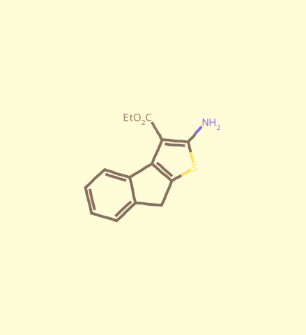 CCOC(=O)c1c(N)sc2c1-c1ccccc1C2